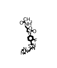 CC(=O)NCC1CN(c2ccc(-c3nnc(Cn4cncn4)s3)c(F)c2)C(=O)O1